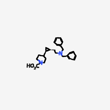 O=C(O)N1CCC([C@H]2C[C@@H]2CCN(Cc2ccccc2)Cc2ccccc2)CC1